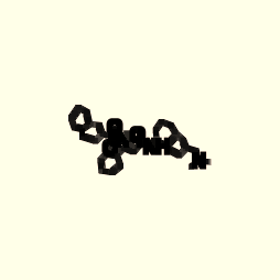 CN(C)Cc1ccc2c(c1)CCCC2NC(=O)CC(NS(=O)(=O)c1ccc2ccccc2c1)c1ccccc1